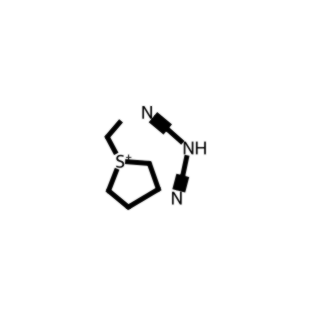 CC[S+]1CCCC1.N#CNC#N